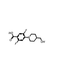 O=C(O)c1cc(F)c(N2CCC(CO)CC2)cc1F